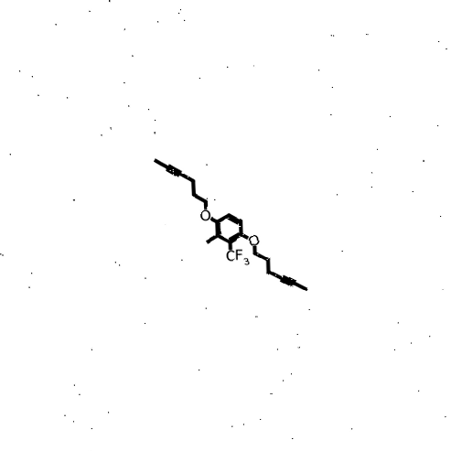 CC#CCCCOc1ccc(OCCCC#CC)c(C(F)(F)F)c1C